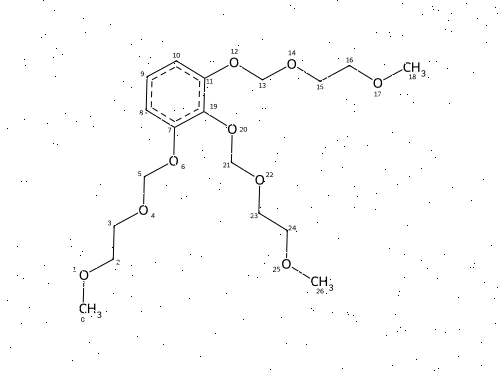 COCCOCOc1[c]ccc(OCOCCOC)c1OCOCCOC